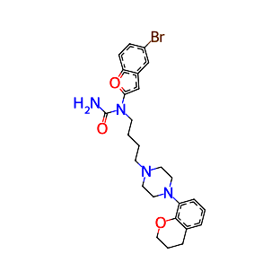 NC(=O)N(CCCCN1CCN(c2cccc3c2OCCC3)CC1)c1cc2cc(Br)ccc2o1